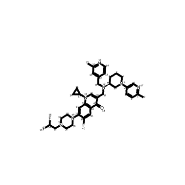 Cc1ccc(N2CCC[C@H](N(Cc3ccnc(C)c3)Cc3cn(C4CC4)c4cc(N5CCN(CC(F)F)CC5)c(F)cc4c3=O)C2)cn1